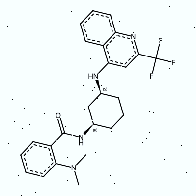 CN(C)c1ccccc1C(=O)N[C@@H]1CCC[C@H](Nc2cc(C(F)(F)F)nc3ccccc23)C1